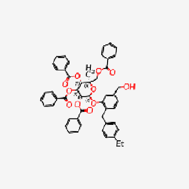 CCc1ccc(Cc2ccc(CO)cc2O[C@@H]2O[C@](C)(COC(=O)c3ccccc3)[C@@H](OC(=O)c3ccccc3)[C@H](OC(=O)c3ccccc3)[C@H]2OC(=O)c2ccccc2)cc1